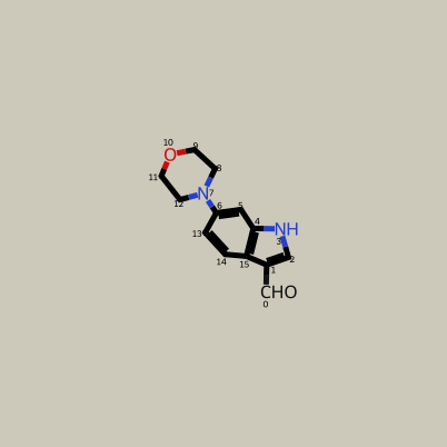 O=Cc1c[nH]c2cc(N3CCOCC3)ccc12